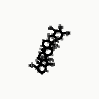 C[C@@H]1CCOC2[C@H]1[C@@]1(C)CCC34C[C@@]35CC[C@H](O[C@@H]3OCC(O)[C@H](O)[C@H]3O)C(C)(C)[C@@H]5CCC4[C@]1(C)[C@H]2O